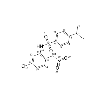 CC(C)c1ccc(S(=O)(=O)Nc2cc(Cl)ccc2C[SH](=O)=O)cc1